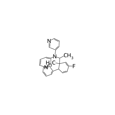 CC(N(c1cccnc1)c1cccnc1)C1(C)C=C(F)C=CC1c1ccccc1